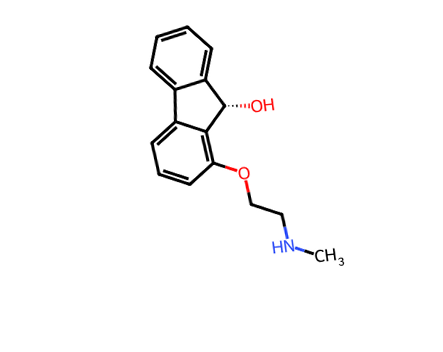 CNCCOc1cccc2c1[C@@H](O)c1ccccc1-2